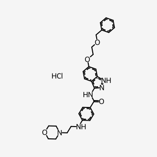 Cl.O=C(Nc1n[nH]c2cc(OCCOCc3ccccc3)ccc12)c1ccc(NCCN2CCOCC2)cc1